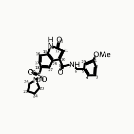 COc1cccc(CNC(=O)c2cc(=O)[nH]c3ccc(S(=O)(=O)N4CCCC4)cc23)c1